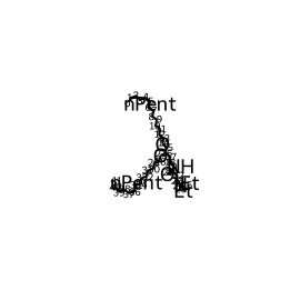 CCCCC/C=C\C/C=C\CCCCCCCCOC[C@H](CCNC(=O)CCN(CC)CC)OCCCCCCCC/C=C\C/C=C\CCCCC